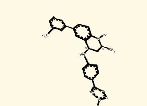 CC(=O)N1c2ccc(-c3cccc(C)c3)cc2[C@H](Nc2ccc(-c3nnn(C)n3)cc2)C[C@@H]1C